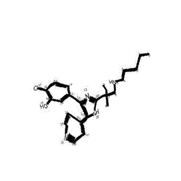 CCCCCNCC(C)(C)c1nc(-c2ccc(Cl)c(O)c2)c(-c2ccncc2)[nH]1